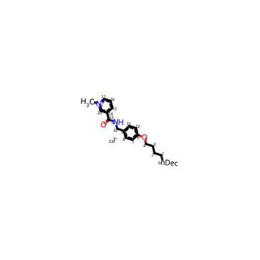 CCCCCCCCCCCCCCOc1ccc(CNC(=O)c2ccc[n+](C)c2)cc1.[I-]